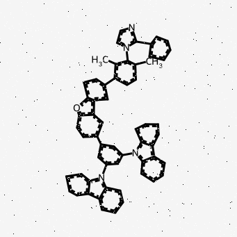 Cc1ccc(-c2ccc3oc4ccc(-c5cc(-n6c7ccccc7c7ccccc76)cc(-n6c7ccccc7c7ccccc76)c5)cc4c3c2)c(C)c1-n1ccnc1-c1ccccc1